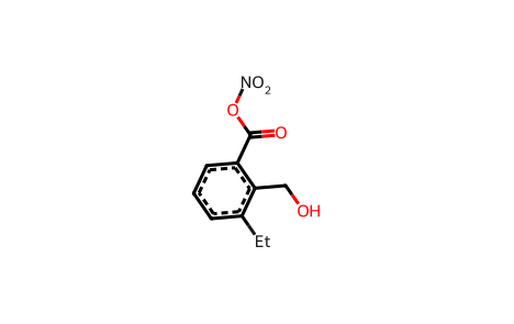 CCc1cccc(C(=O)O[N+](=O)[O-])c1CO